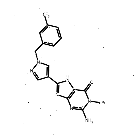 CCCn1c(N)nc2nc(-c3cnn(Cc4cccc(C(F)(F)F)c4)c3)[nH]c2c1=O